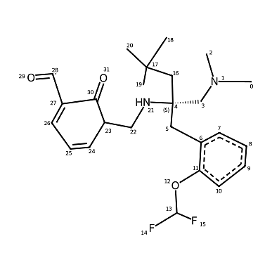 CN(C)C[C@@](Cc1ccccc1OC(F)F)(CC(C)(C)C)NCC1C=CC=C([C]=O)C1=O